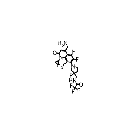 Cc1c(N2CCC(F)(CNC(=O)C(F)(F)F)C2)c(F)c(F)c2c(CN)cc(=O)n(C3CC3)c12